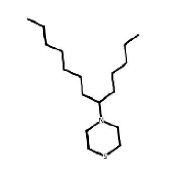 CCCCCCCC(CCCCC)N1CCSCC1